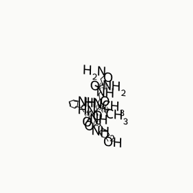 CC[C@H](C)[C@H](NC(=O)CNC(=O)[C@@H](N)CC(N)=O)C(=O)N[C@@H](Cc1c[nH]c2ccccc12)C(=O)N[C@@H](Cc1ccc(O)cc1)C(N)=O